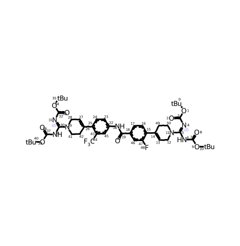 CC(C)(C)OC(=O)/N=C(/NC(=O)OC(C)(C)C)N1CC=C(c2ccc(C(=O)Nc3ccc(C4=CCN(/C(=N\C(=O)OC(C)(C)C)NC(=O)OC(C)(C)C)CC4)c(C(F)(F)F)c3)cc2F)CC1